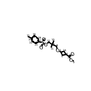 COC(=O)C1CC(OCC(C)(C)COS(=O)(=O)c2ccc(C)cc2)C1